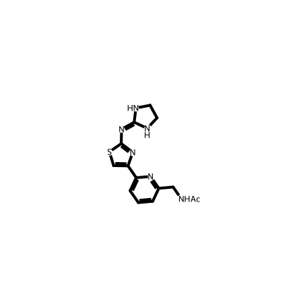 CC(=O)NCc1cccc(-c2csc(N=C3NCCN3)n2)n1